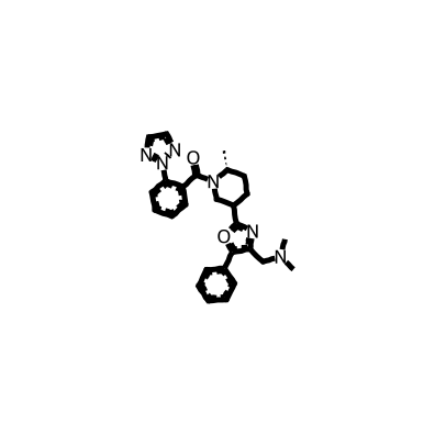 C[C@@H]1CCC(c2nc(CN(C)C)c(-c3ccccc3)o2)CN1C(=O)c1ccccc1-n1nccn1